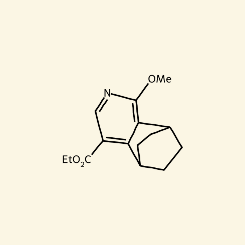 CCOC(=O)c1cnc(OC)c2c1C1CCC2CC1